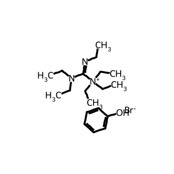 CCN=C(N(CC)CC)[N+](CC)(CC)CC.Oc1ccccc1.[Br-]